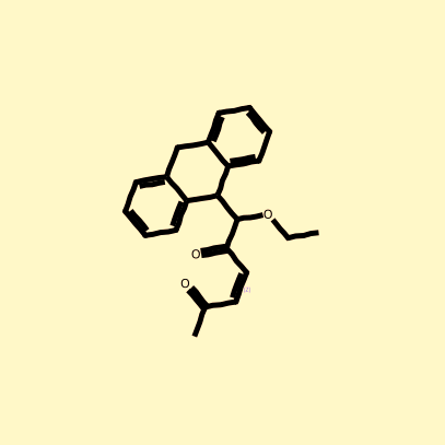 CCOC(C(=O)/C=C\C(C)=O)C1c2ccccc2Cc2ccccc21